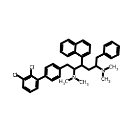 CN(C)C(C[C](c1cccc2ccccc12)C(Cc1ccc(-c2cccc(Cl)c2Cl)cc1)N(C)C)Cc1ccccc1